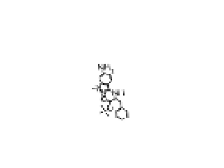 Cn1nc(N[C@@H](Cc2ccccc2)C(=O)OC(C)(C)C)c2ccc(N)cc21